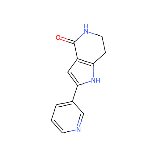 O=C1NCCc2[nH]c(-c3cccnc3)cc21